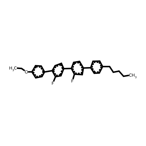 CCCCCc1ccc(-c2ccc(-c3ccc(-c4ccc(OCC)cc4)c(F)c3)c(F)c2)cc1